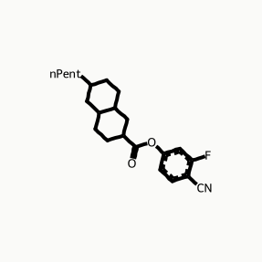 CCCCCC1CCC2CC(C(=O)Oc3ccc(C#N)c(F)c3)CCC2C1